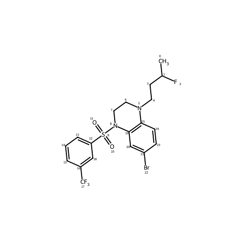 CC(F)CCN1CCN(S(=O)(=O)c2cccc(C(F)(F)F)c2)c2cc(Br)ccc21